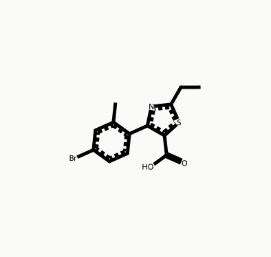 CCc1nc(-c2ccc(Br)cc2C)c(C(=O)O)s1